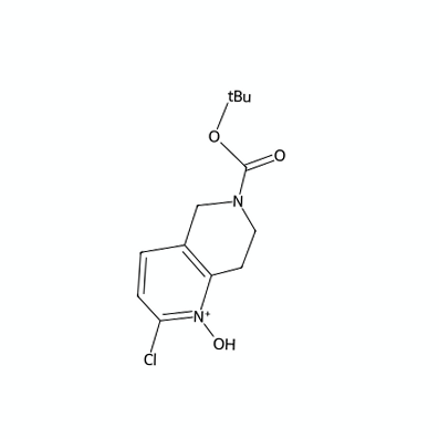 CC(C)(C)OC(=O)N1CCc2c(ccc(Cl)[n+]2O)C1